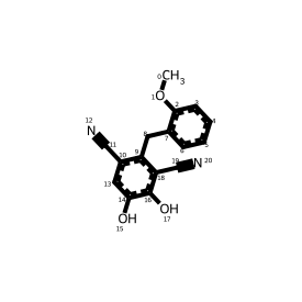 COc1ccccc1Cc1c(C#N)cc(O)c(O)c1C#N